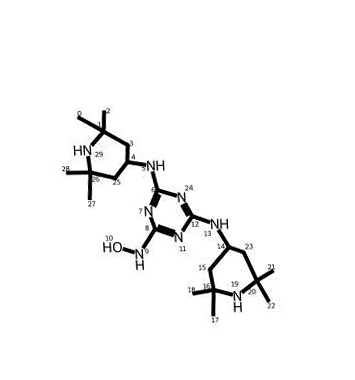 CC1(C)CC(Nc2nc(NO)nc(NC3CC(C)(C)NC(C)(C)C3)n2)CC(C)(C)N1